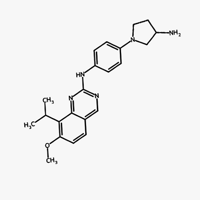 COc1ccc2cnc(Nc3ccc(N4CCC(N)C4)cc3)nc2c1C(C)C